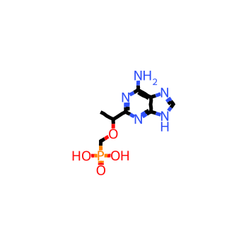 CC(OCP(=O)(O)O)c1nc(N)c2nc[nH]c2n1